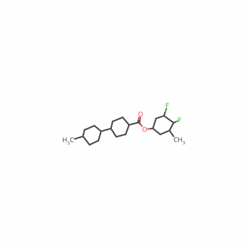 CC1CCC(C2CCC(C(=O)OC3CC(C)C(F)C(F)C3)CC2)CC1